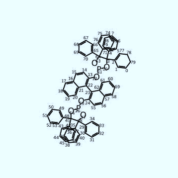 C1=CC(C2(c3ccccc3)OP(Oc3ccc4ccccc4c3-c3c(OP4OC(c5ccccc5)(c5ccccc5)C(c5ccccc5)(c5ccccc5)O4)ccc4ccccc34)OC2(c2ccccc2)c2ccccc2)=CCC1